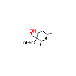 CCCCCC1(CO)CCC(C)=CC1C